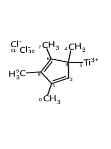 CC1=C[C](C)([Ti+3])C(C)=C1C.[Cl-].[Cl-]